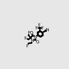 N#Cc1ccc(N2C(=O)N(CCF)C(CF)(CF)C2=O)cc1C(F)(F)F